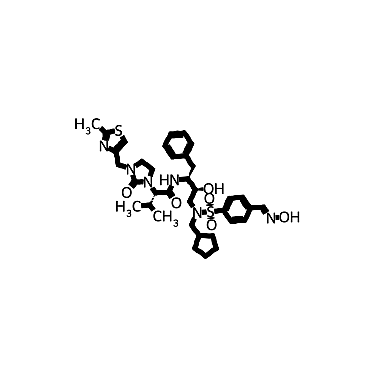 Cc1nc(CN2CCN([C@H](C(=O)N[C@@H](Cc3ccccc3)[C@@H](O)CN(CC3CCCC3)S(=O)(=O)c3ccc(C=NO)cc3)C(C)C)C2=O)cs1